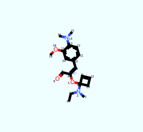 CCN(C)C1(O/C(C=O)=C/c2ccc(N(C)C)c(OC)c2)C=CC1